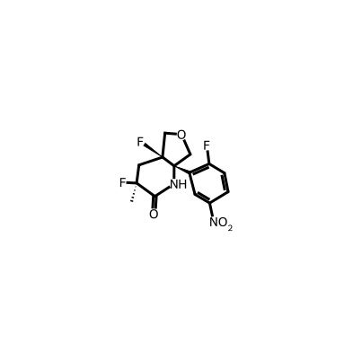 C[C@]1(F)C[C@]2(F)COC[C@]2(c2cc([N+](=O)[O-])ccc2F)NC1=O